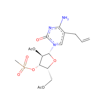 C=CCc1cn([C@@H]2O[C@H](COC(C)=O)[C@H](OS(C)(=O)=O)[C@H]2OC(C)=O)c(=O)nc1N